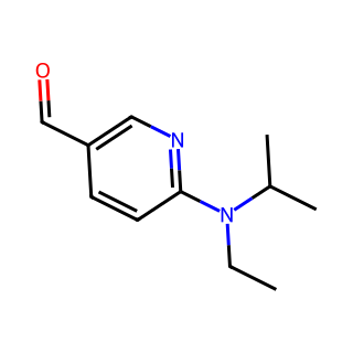 CCN(c1ccc(C=O)cn1)C(C)C